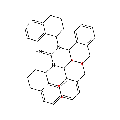 N=C(N(C1CCCc2ccccc21)C1CCCc2ccccc21)N(C1CCCc2ccccc21)C1CCCc2ccccc21